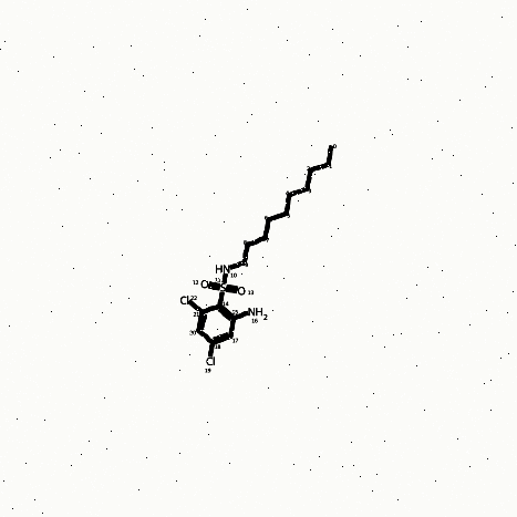 CCCCCCCCCCNS(=O)(=O)c1c(N)cc(Cl)cc1Cl